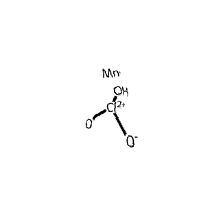 [Mn].[O-][Cl+2]([O-])O